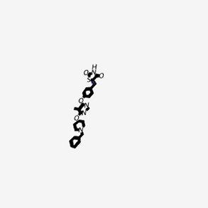 Cc1c(Oc2ccc(/C=C3\SC(=O)NC3=O)cc2)ncnc1OC1CCN(Cc2ccccc2)CC1